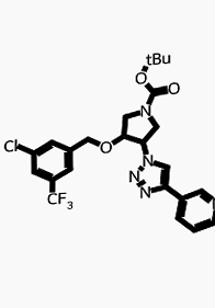 CC(C)(C)OC(=O)N1CC(OCc2cc(Cl)cc(C(F)(F)F)c2)C(n2cc(-c3cccnc3)nn2)C1